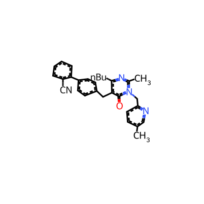 CCCCc1nc(C)n(Cc2ccc(C)cn2)c(=O)c1Cc1ccc(-c2ccccc2C#N)cc1